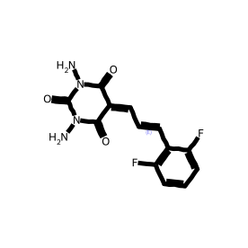 NN1C(=O)C(=C/C=C/c2c(F)cccc2F)C(=O)N(N)C1=O